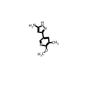 COc1ncc(-c2cc(N)[nH]n2)cc1C